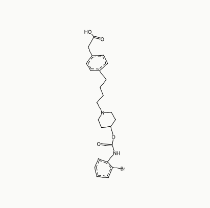 O=C(O)Cc1ccc(CCCCN2CCC(OC(=O)Nc3ccccc3Br)CC2)cc1